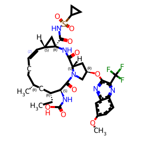 CC[C@@H]1C[C@H](C)CC/C=C\[C@@H]2C[C@@]2(C(=O)NS(=O)(=O)C2CC2)NC(=O)[C@@H]2C[C@@H](Oc3nc4cc(OC)ccc4nc3C(F)(F)F)CN2C(=O)[C@H]1NC(=O)O